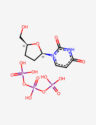 O=P(O)(O)OP(=O)(O)OP(=O)(O)O.O=c1ccn([C@H]2CC[C@@H](CO)O2)c(=O)[nH]1